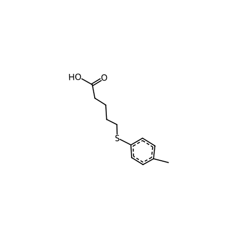 Cc1ccc(SCCCCC(=O)O)cc1